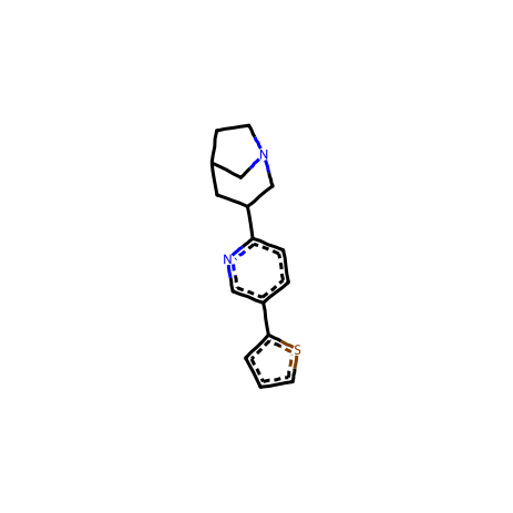 c1csc(-c2ccc(C3CC4CCN(C4)C3)nc2)c1